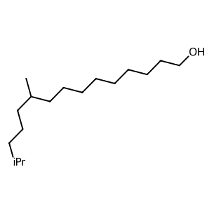 CC(C)CCCC(C)CCCCCCCCCO